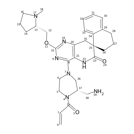 C=CC(=O)N1CCN(c2nc(OC[C@@H]3CCCN3C)nc3c2NC(=O)[C@]2(CCCc4ccccc42)C3)C[C@@H]1CN